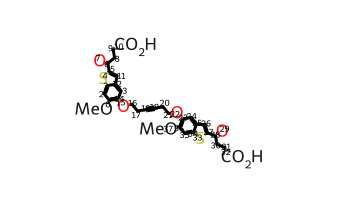 COc1cc2sc(C(=O)CCC(=O)O)cc2cc1OCCC#CCCOc1cc2cc(C(=O)CCC(=O)O)sc2cc1OC